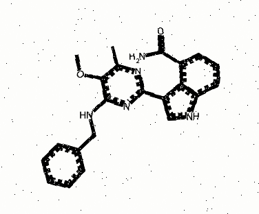 COc1c(C)nc(-c2c[nH]c3cccc(C(N)=O)c23)nc1NCc1ccccc1